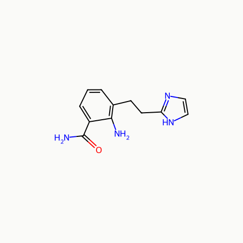 NC(=O)c1cccc(CCc2ncc[nH]2)c1N